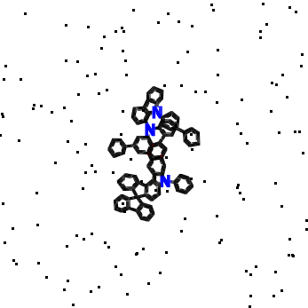 c1ccc(-c2ccc(-n3c4ccccc4c4cccc(N(c5cc(-c6ccccc6)cc(-c6ccc7c(c6)c6c8c(ccc6n7-c6ccccc6)C6(c7ccccc7-c7ccccc76)c6ccccc6-8)c5)c5ccccc5-c5ccccc5)c43)cc2)cc1